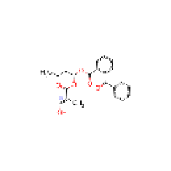 CCCC(OC(=O)/C(C)=C/O)OC(=O)c1ccccc1C(=O)c1ccccc1